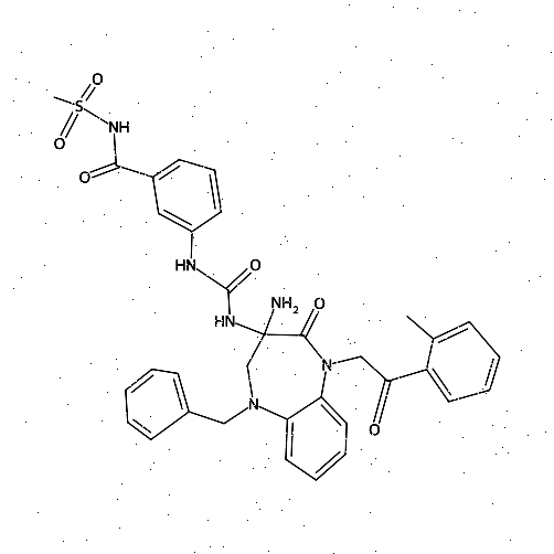 Cc1ccccc1C(=O)CN1C(=O)C(N)(NC(=O)Nc2cccc(C(=O)NS(C)(=O)=O)c2)CN(Cc2ccccc2)c2ccccc21